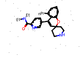 CCCc1cccc2c1C(c1ccc(C(=O)N(CC)CC)nc1)=CC1(CCNCC1)O2